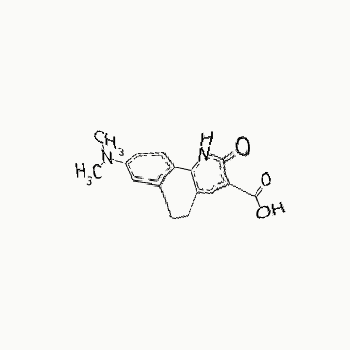 CN(C)c1ccc2c(c1)CCc1cc(C(=O)O)c(=O)[nH]c1-2